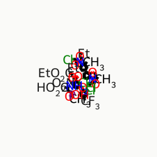 CC1COc2ccccc2N1C(=O)C(Cl)Cl.CCOC(=O)COC(=O)c1cc(Oc2ccc(C(F)(F)F)cc2Cl)ccc1[N+](=O)[O-].CCOCN(C(=O)CCl)c1c(C)cccc1CC.CP(=O)(O)CCC(N)C(=O)O